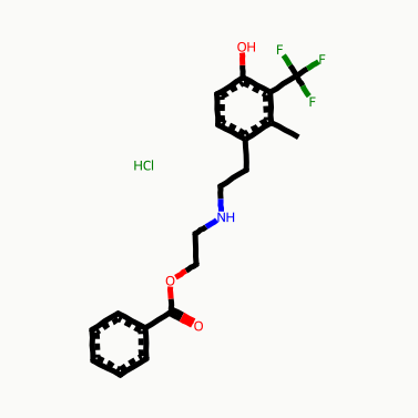 Cc1c(CCNCCOC(=O)c2ccccc2)ccc(O)c1C(F)(F)F.Cl